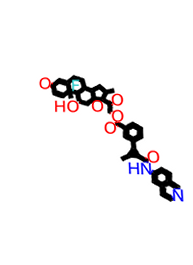 CC1C(C(=O)Nc2ccc3cnccc3c2)C1c1cccc(C(=O)OCC(=O)C23OC24CC(O)C2(F)C(CCC5=CC(=O)C=CC52C)C4CC3C)c1